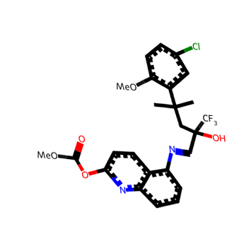 COC(=O)Oc1ccc2c(N=CC(O)(CC(C)(C)c3cc(Cl)ccc3OC)C(F)(F)F)cccc2n1